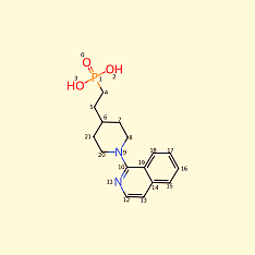 O=P(O)(O)CCC1CCN(c2nccc3ccccc23)CC1